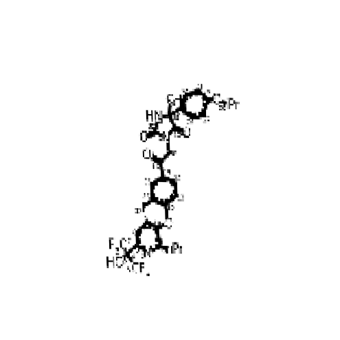 CCCc1nc(C(O)(C(F)(F)F)C(F)(F)F)ccc1Oc1ccc(C(=O)CN2C(=O)NC(C)(c3ccc(OC(C)C)cc3)C2=O)cc1I